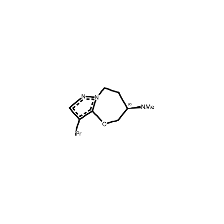 CN[C@@H]1CCn2ncc(C(C)C)c2OC1